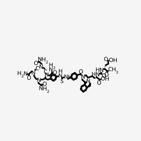 CC(=O)[C@@H](CCC(=O)O)NC(=O)N[C@H](CCCCN(Cc1nccc2ccccc12)C(=O)c1ccc(CNC(=S)Nc2ccc(CC3CN(CC(N)=O)CCN(CC(N)=O)CCN(CC(N)=O)CCN3CC(N)=O)cc2)cc1)C(=O)O